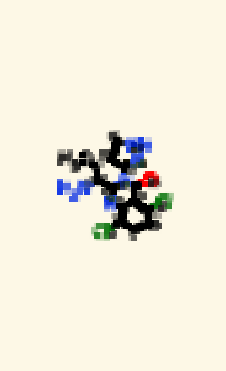 CC[C@H](N)c1nc2c(Cl)ccc(Cl)c2c(=O)n1-c1cc[nH]n1